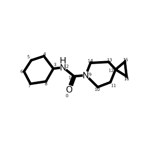 O=C(NC1CCCCC1)N1CCC2(CC1)CC2